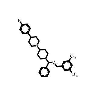 Fc1ccc(C2CCN(C3CCC(C(OCc4cc(C(F)(F)F)cc(C(F)(F)F)c4)c4ccccc4)CC3)CC2)cc1